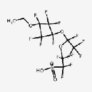 CCOC1(F)C(F)(F)C(F)(OC(F)(OC(F)(F)C(F)(F)S(=O)(=O)O)C(F)(F)F)C1(F)F